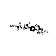 CON=C1COc2cc(N3C[C@H](CNC(=O)OC)OC3=O)ccc2N1C